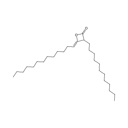 CCCCCCCCCCCCC=C1OC(=O)C1CCCCCCCCCCCC